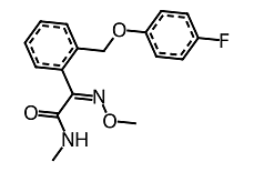 CNC(=O)/C(=N\OC)c1ccccc1COc1ccc(F)cc1